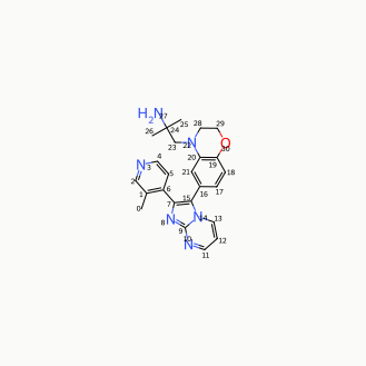 Cc1cnccc1-c1nc2ncccn2c1-c1ccc2c(c1)N(CC(C)(C)N)CCO2